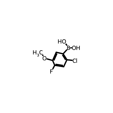 COc1cc(B(O)O)c(Cl)cc1F